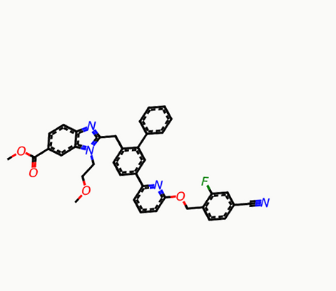 COCCn1c(Cc2ccc(-c3cccc(OCc4ccc(C#N)cc4F)n3)cc2-c2ccccc2)nc2ccc(C(=O)OC)cc21